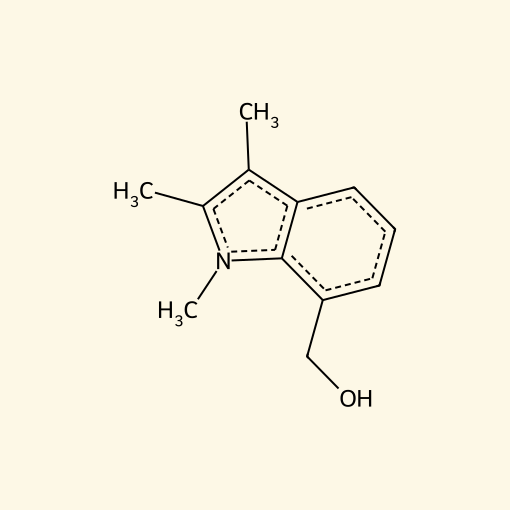 Cc1c(C)n(C)c2c(CO)cccc12